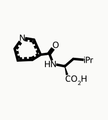 CC(C)C[C@H](NC(=O)c1cccnc1)C(=O)O